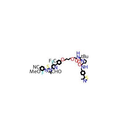 COc1c(C#N)ccc(N(C)C(=S)N(c2cnc(-c3ccc(OCCCCOCC(=O)NC(C(=O)N4CCCC4C(=O)NCc4ccc(-c5scnc5C)cc4)C(C)(C)C)cc3C(F)(F)F)c(F)c2)C(C)(C)C=O)c1F